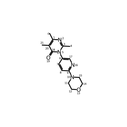 Cc1nc(C)n(-c2ccc(N3CCOCC3)nc2)c(=O)c1C